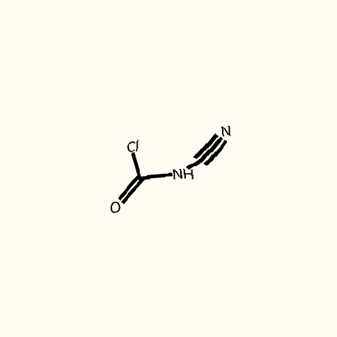 N#CNC(=O)Cl